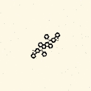 c1ccc(N(c2ccc3oc4ccccc4c3c2)c2cc3c4ccccc4c(N(c4ccccc4)c4ccc5oc6ccccc6c5c4)cc3c3ccccc23)cc1